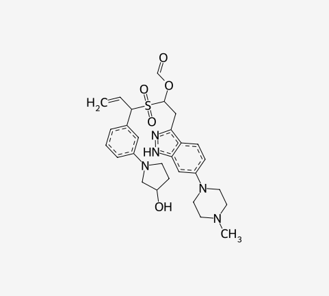 C=CC(c1cccc(N2CCC(O)C2)c1)S(=O)(=O)C(Cc1n[nH]c2cc(N3CCN(C)CC3)ccc12)OC=O